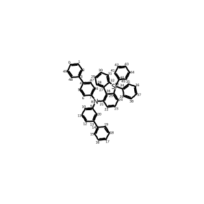 c1ccc(-c2ccc(N(c3cccc(-c4ccccc4)c3)c3cccc4c3-c3ccccc3[Si]4(c3ccccc3)c3ccccc3)cc2)cc1